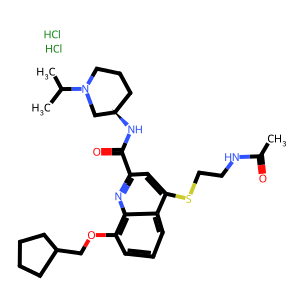 CC(=O)NCCSc1cc(C(=O)N[C@@H]2CCCN(C(C)C)C2)nc2c(OCC3CCCC3)cccc12.Cl.Cl